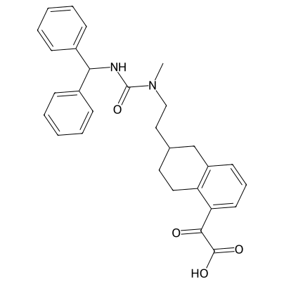 CN(CCC1CCc2c(cccc2C(=O)C(=O)O)C1)C(=O)NC(c1ccccc1)c1ccccc1